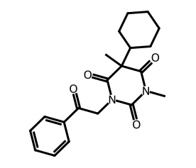 CN1C(=O)N(CC(=O)c2ccccc2)C(=O)C(C)(C2CCCCC2)C1=O